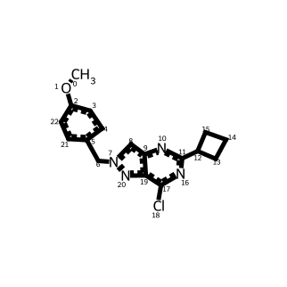 COc1ccc(Cn2cc3nc(C4CCC4)nc(Cl)c3n2)cc1